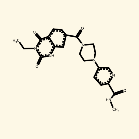 CCn1c(=O)[nH]c2cc(C(=O)N3CCN(c4ccc(C(=O)NC)nc4)CC3)ccc2c1=O